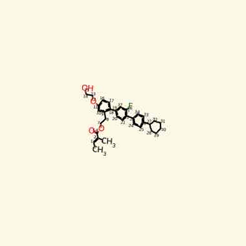 C/C=C(\C)C(=O)OCCc1cc(OCCO)ccc1-c1ccc(-c2ccc(C3CCCCC3)cc2)c(F)c1